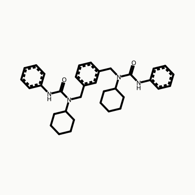 O=C(Nc1ccccc1)N(Cc1cccc(CN(C(=O)Nc2ccccc2)C2CCCCC2)c1)C1CCCCC1